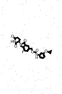 O=C1CCC(N2Cc3c(F)cc(COC(=O)Nc4cccc(OC5CC5)c4)cc3C2=O)C(=O)N1